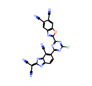 N#CC(C#N)=C1N=c2ccc(-c3nc(Cl)nc(-c4nc5cc(C#N)c(C#N)cc5o4)n3)c(C#N)c2=N1